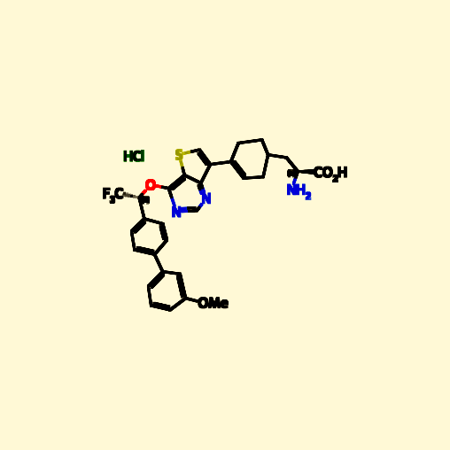 COc1cccc(-c2ccc([C@@H](Oc3ncnc4c(C5=CCC(C[C@H](N)C(=O)O)CC5)csc34)C(F)(F)F)cc2)c1.Cl